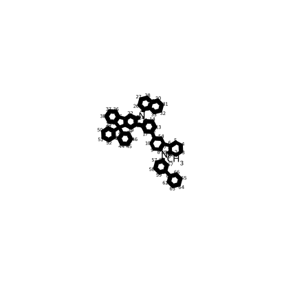 CC12CC=CC=C1C1=C(CCC(c3ccc4c(c3)c3cc5c(cc3n4-c3cccc4ccccc34)-c3ccccc3C5(c3ccccc3)c3ccccc3)=C1)N2c1cccc(-c2ccccc2)c1